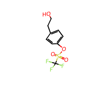 O=S(=O)(Oc1ccc(CCO)cc1)C(F)(F)F